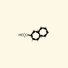 O=C(O)c1ccc2[c]cc[c]c2c1